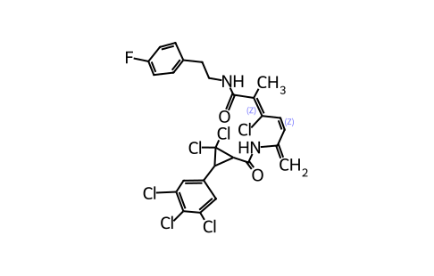 C=C(/C=C\C(Cl)=C(/C)C(=O)NCCc1ccc(F)cc1)NC(=O)C1C(c2cc(Cl)c(Cl)c(Cl)c2)C1(Cl)Cl